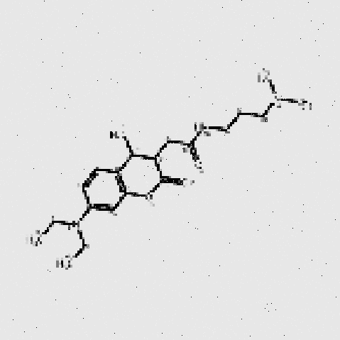 CCN(CC)c1ccc2c(c1)OC(=O)C(CC(=O)NCCCN(C)C)C2C